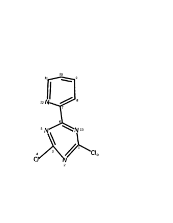 Clc1nc(Cl)nc(-c2ccccn2)n1